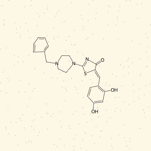 O=C1N=C(N2CCN(Cc3ccccc3)CC2)S/C1=C\c1ccc(O)cc1O